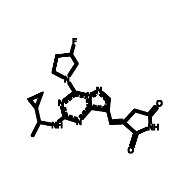 CC(Nc1nc(N2CCC(F)C2)n2ncc(/C=C3\CC(=O)NC3=O)c2n1)C1CC1